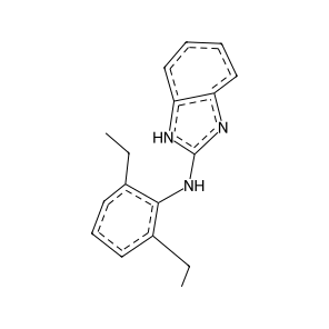 CCc1cccc(CC)c1Nc1nc2ccccc2[nH]1